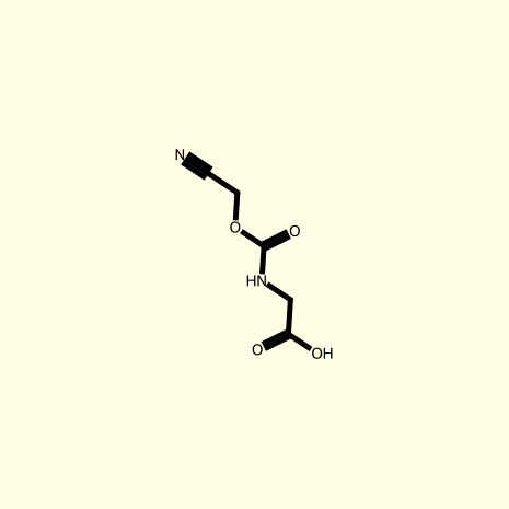 N#CCOC(=O)NCC(=O)O